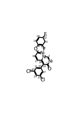 O=c1ncn2nc(OC3=C(F)CC(F)C=C3)ccc2c1-c1cc(Cl)cc(Cl)c1